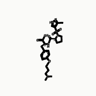 Cc1n[nH]cc1S(=O)(=O)N1CCC[C@H]1C(=O)N[C@@H](Cc1ccc(OCCCN(C)C)cc1)C(=O)O